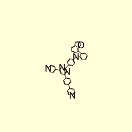 c1ccc2c(c1)c1c3occc3ccc1n2-c1ccc(-c2nc(-c3ccncc3)cc(-c3ccc(-c4ccncc4)cc3)n2)cc1